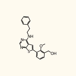 COc1c(CO)cccc1-c1cc2c(NCCc3ccccc3)ncnc2s1